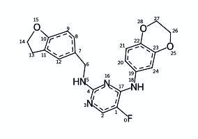 Fc1cnc(NCc2ccc3c(c2)CCO3)nc1Nc1ccc2c(c1)OCCO2